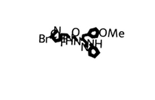 COc1ccc(CC(NC(=O)NCc2ncc(Br)cc2F)c2nc3ccccc3[nH]2)cc1